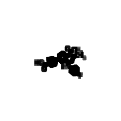 CC(=O)N1c2ccc(-c3ccc(C(=O)O)cc3)cc2C(Nc2ccc(F)cc2)CC1C